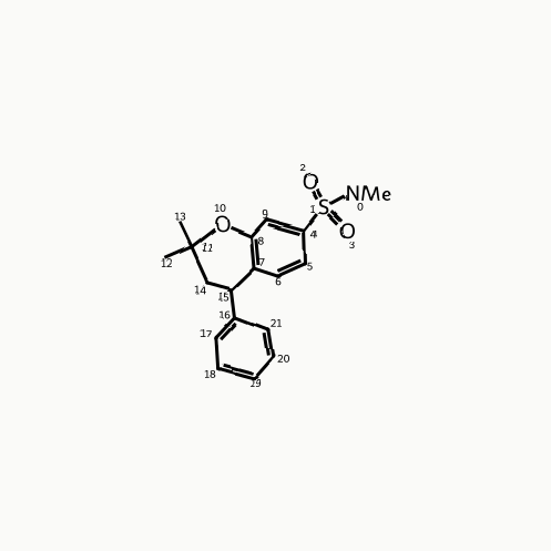 CNS(=O)(=O)c1ccc2c(c1)OC(C)(C)CC2c1ccccc1